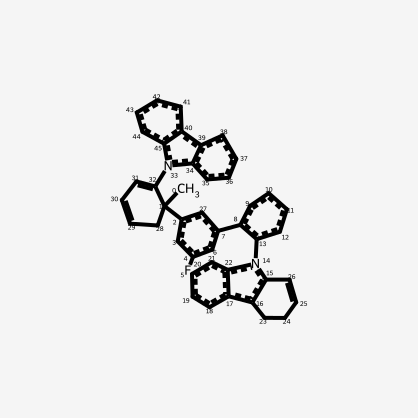 CC1(c2cc(F)cc(-c3ccccc3-n3c4c(c5ccccc53)CCC=C4)c2)CC=CC=C1n1c2ccccc2c2ccccc21